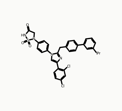 CC(C)c1cccc(-c2ccc(Cc3nc(-c4ccc(Cl)cc4Cl)cn3-c3ccc(N4CC(=O)NS4(=O)=O)cc3)cc2)c1